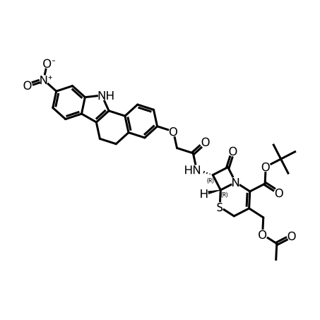 CC(=O)OCC1=C(C(=O)OC(C)(C)C)N2C(=O)[C@@H](NC(=O)COc3ccc4c(c3)CCc3c-4[nH]c4cc([N+](=O)[O-])ccc34)[C@H]2SC1